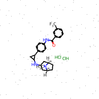 CN1[C@@H]2CC[C@@H]1CC(NC1CC1c1ccc(NC(=O)c3cccc(C(F)(F)F)c3)cc1)C2.Cl.Cl